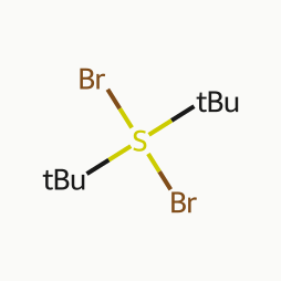 CC(C)(C)S(Br)(Br)C(C)(C)C